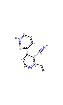 C=Cc1nccc(-c2cccnc2)c1C#N